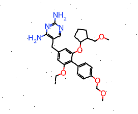 CCOc1cc(Cc2cnc(N)nc2N)cc(OC2CCCC2COC)c1-c1ccc(OCOC)cc1